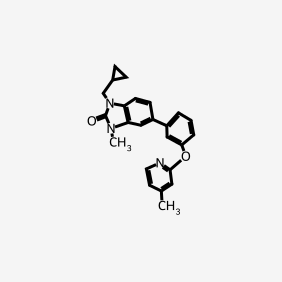 Cc1ccnc(Oc2cccc(-c3ccc4c(c3)n(C)c(=O)n4CC3CC3)c2)c1